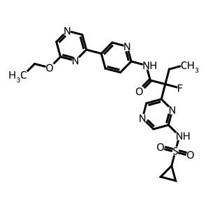 CCOc1cncc(-c2ccc(NC(=O)C(F)(CC)c3cncc(NS(=O)(=O)C4CC4)n3)nc2)n1